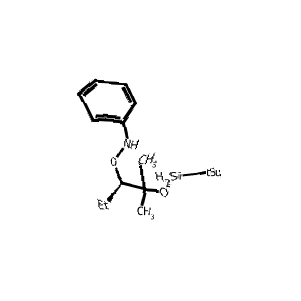 CC[C@@H](ONc1ccccc1)C(C)(C)O[SiH2]C(C)(C)C